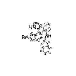 CC(C)CC1C(=O)NC(C2Cc3ccccc3C2)C(=O)N1C(C(=O)NC(C)C)c1ccc(Br)s1